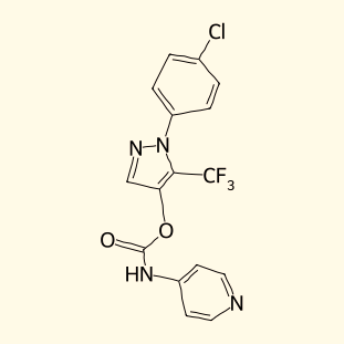 O=C(Nc1ccncc1)Oc1cnn(-c2ccc(Cl)cc2)c1C(F)(F)F